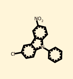 O=[N+]([O-])c1ccc2c(c1)c1cc(Cl)ccc1n2-c1ccccc1